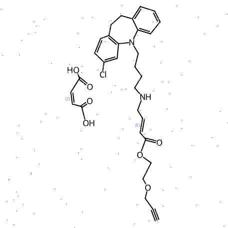 C#CCOCCOC(=O)/C=C/CNCCCCN1c2ccccc2CCc2ccc(Cl)cc21.O=C(O)/C=C\C(=O)O